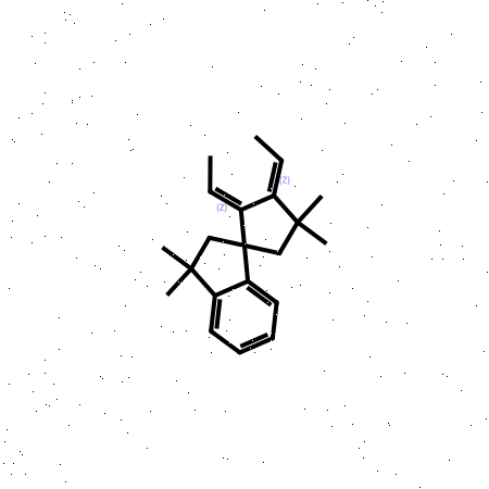 C/C=C1\C(=C/C)C2(CC1(C)C)CC(C)(C)c1ccccc12